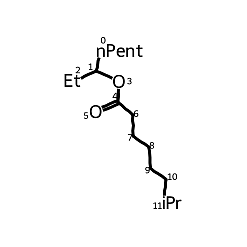 CCCCCC(CC)OC(=O)CCCCCC(C)C